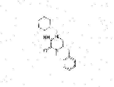 N[C@@H]1CCCC[C@@H]1CN1CC(=O)N[C@@H](Cc2ccccc2)C1